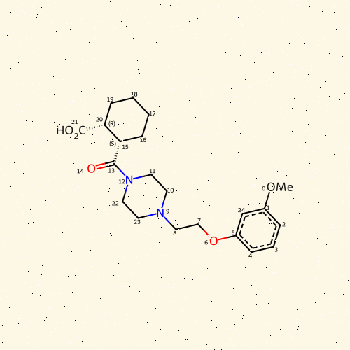 COc1cccc(OCCN2CCN(C(=O)[C@H]3CCCC[C@H]3C(=O)O)CC2)c1